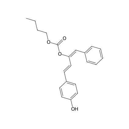 CCCCOC(=O)OC(C=Cc1ccc(O)cc1)=Cc1ccccc1